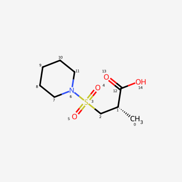 C[C@H](CS(=O)(=O)N1CCCCC1)C(=O)O